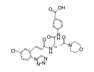 O=C(C=Cc1cc(Cl)ccc1-n1cnnn1)N[C@@H](CC(=O)N1CCOCC1)C(=O)Nc1ccc(C(=O)O)cc1